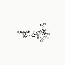 Nc1nc(O)c2c(CCc3ccc(C(=O)N[C@@H](CCC(=O)O)C(=O)C(C[C@H](N)C(=O)O)(C(=O)O)C(=O)[C@@H](N)CCC(=O)O)c(F)c3)c[nH]c2n1